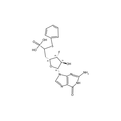 Nc1nc2c(ncn2[C@@H]2O[C@H](CC(Sc3ccccc3)P(=O)(O)O)[C@H](F)[C@H]2O)c(=O)[nH]1